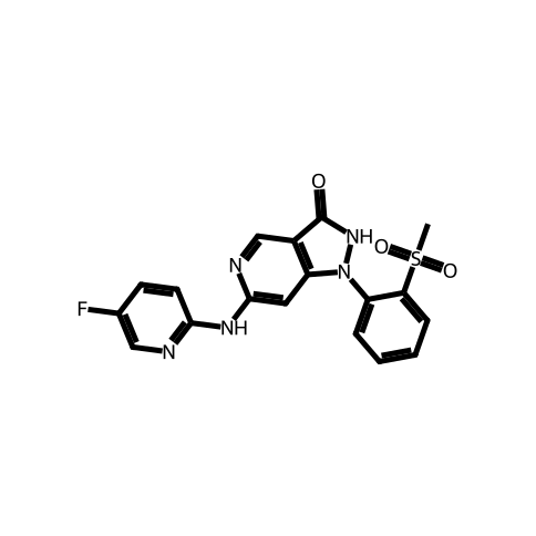 CS(=O)(=O)c1ccccc1-n1[nH]c(=O)c2cnc(Nc3ccc(F)cn3)cc21